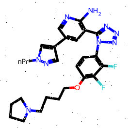 CCCn1cc(-c2cnc(N)c(-c3nnnn3-c3ccc(OCCCCN4CCCC4)c(F)c3F)c2)cn1